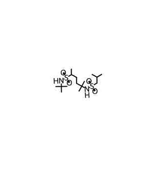 CC(C)CS(=O)(=O)NC(C)(C)CCC(C)S(=O)(=O)NC(C)(C)C